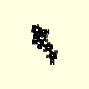 CCC1CC(O)(c2ccncc2Cl)CCN1C(=O)c1csc(-c2cn[nH]c2)c1